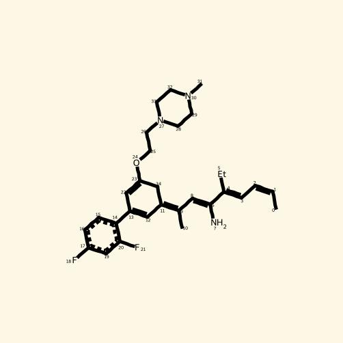 C\C=C/C=C(CC)/C(N)=C/C(C)=C1/C=C(c2ccc(F)cc2F)C=C(OCCN2CCN(C)CC2)C1